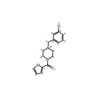 O=C(c1cccs1)N1CCN(Cc2c[c]cc(Cl)c2)CC1